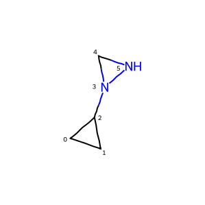 C1CC1N1CN1